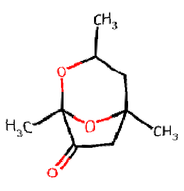 CC1CC2(C)CC(=O)C(C)(O1)O2